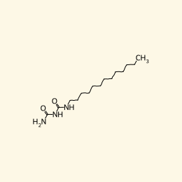 CCCCCCCCCCCCCNC(=O)NC(N)=O